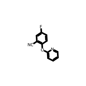 N#Cc1cc(F)ccc1Oc1ccccn1